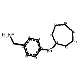 NCc1ccc(SC2CCCCCC2)cc1